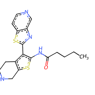 CCCCC(=O)Nc1sc2c(c1-c1nc3cnccc3s1)CCNC2